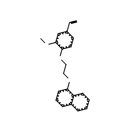 COc1cc(C=O)ccc1OCCOc1cccc2ccccc12